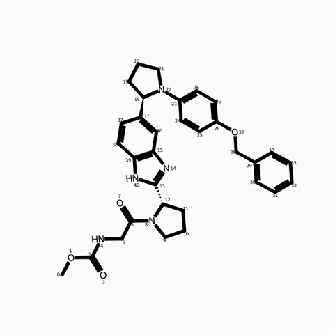 COC(=O)NCC(=O)N1CCC[C@H]1c1nc2cc([C@H]3CCCN3c3ccc(OCc4ccccc4)cc3)ccc2[nH]1